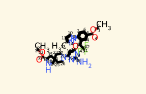 CCOC(=O)c1ccc(-n2ccc(C)n2)c([C@@H](Oc2cc(N3CCC4(CC3)CN[C@H](C(=O)OCC)C4)nc(N)n2)C(F)(F)F)c1